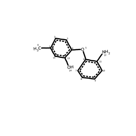 Cc1ccc(Oc2ccccc2N)c(O)c1